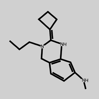 CCCN1Cc2ccc(NC)cc2NC1=C1CCC1